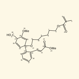 C=C(C)C(=O)OCCCCCCOC1(c2ccccc2/C=C/C(=O)OC)C=CC(C(=O)O)C(OC)=C1